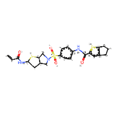 C=CC(=O)NC1CC2CN(S(=O)(=O)c3ccc(NC(=O)c4cc5c(s4)CCC5)cc3)CC2S1